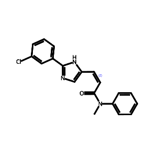 CN(C(=O)/C=C\c1cnc(-c2cccc(Cl)c2)[nH]1)c1ccccc1